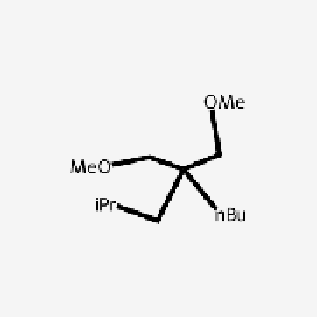 CCCCC(COC)(COC)CC(C)C